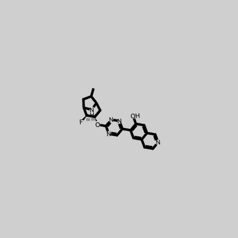 CC1CC2NC1C[C@H](Oc1ncc(-c3cc4ccncc4cc3O)nn1)[C@H]2F